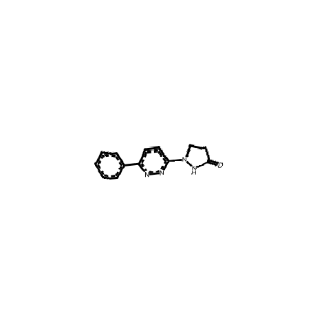 O=C1CCN(c2ccc(-c3ccccc3)nn2)N1